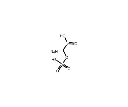 O=S(O)COS(=O)(=O)S.[NaH]